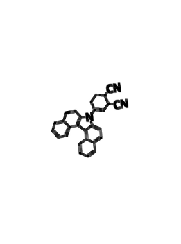 N#CC1C=C(n2c3ccc4ccccc4c3c3c4ccccc4ccc32)CCC1C#N